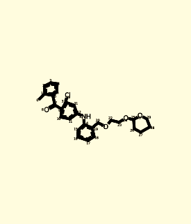 Cc1ccccc1C(=O)c1ccc(Nc2ccccc2COCCOC2CCCCO2)cc1Cl